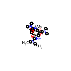 CSN1c2cc3c(cc2B2c4sc5ccccc5c4Oc4cc(N(c5ccccc5)c5ccccc5)cc1c42)B1c2cc4c(cc2Oc2cc(N(c5ccccc5)c5ccccc5)cc(c21)O3)Nc1cc(N(c2ccc(C)cc2)c2ccc(C)cc2)cc2c1B4c1sc3ccccc3c1O2